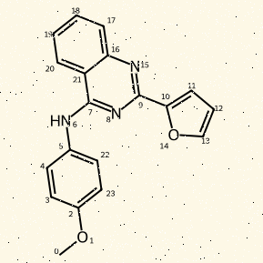 COc1ccc(Nc2nc(-c3ccco3)nc3ccccc23)cc1